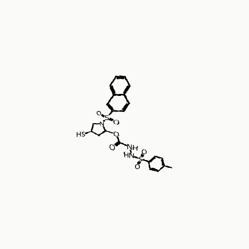 Cc1ccc(S(=O)(=O)NNC(=O)O[C@H]2C[C@@H](S)CN2S(=O)(=O)c2ccc3ccccc3c2)cc1